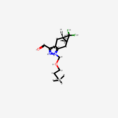 C[C@@]12Cc3c(c(C=O)nn3COCC[Si](C)(C)C)C[C@@H]1C2(F)F